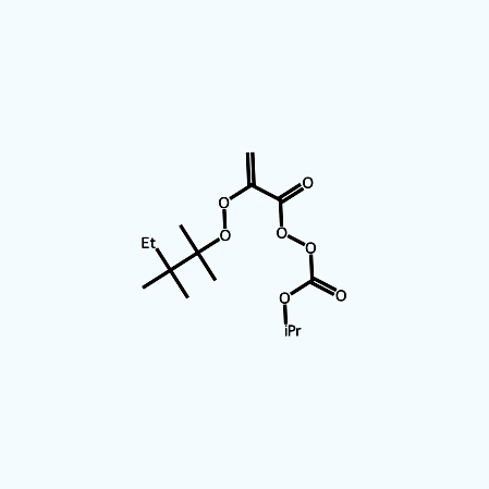 C=C(OOC(C)(C)C(C)(C)CC)C(=O)OOC(=O)OC(C)C